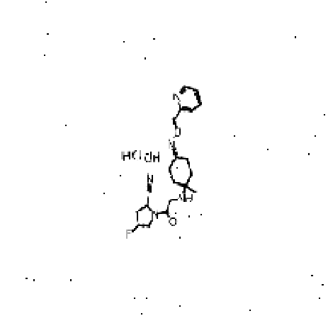 CC1(NCC(=O)N2CC(F)CC2C#N)CCC(=NOCc2ccccn2)CC1.Cl.Cl